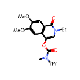 CCCN(C)C(=O)Oc1cn(CC)c(=O)c2cc(OC)c(OC)cc12